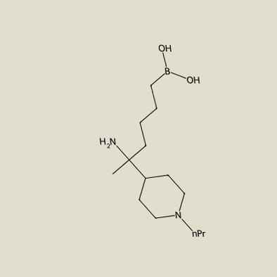 CCCN1CCC(C(C)(N)CCCCB(O)O)CC1